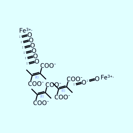 C/C(C(=O)[O-])=C(/C)C(=O)[O-].C/C(C(=O)[O-])=C(/C)C(=O)[O-].C/C(C(=O)[O-])=C(/C)C(=O)[O-].[C]=O.[C]=O.[C]=O.[C]=O.[C]=O.[C]=O.[C]=O.[C]=O.[Fe+3].[Fe+3]